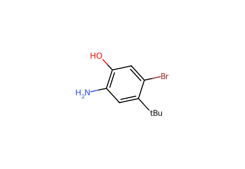 CC(C)(C)c1cc(N)c(O)cc1Br